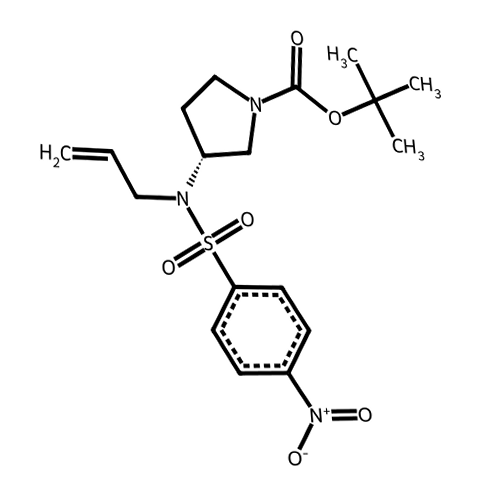 C=CCN([C@@H]1CCN(C(=O)OC(C)(C)C)C1)S(=O)(=O)c1ccc([N+](=O)[O-])cc1